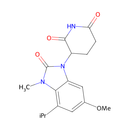 COc1cc(C(C)C)c2c(c1)n(C1CCC(=O)NC1=O)c(=O)n2C